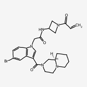 C=CC(=O)N1CC(NC(=O)Cn2cc(C(=O)N3CCN4CCCC[C@@H]4C3)c3cc(Br)ccc32)C1